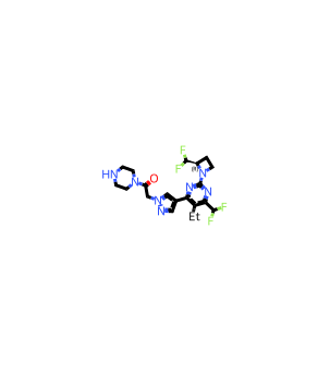 CCc1c(-c2cnn(CC(=O)N3CCNCC3)c2)nc(N2CC[C@@H]2C(F)F)nc1C(F)F